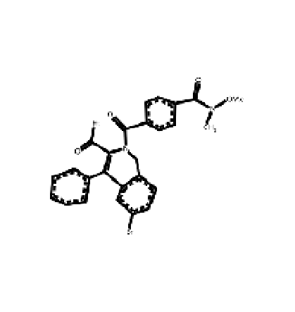 CCC(=O)C1=C(c2ccccc2)c2cc(Br)ccc2CN1C(=O)c1ccc(C(=O)N(C)OC)cc1